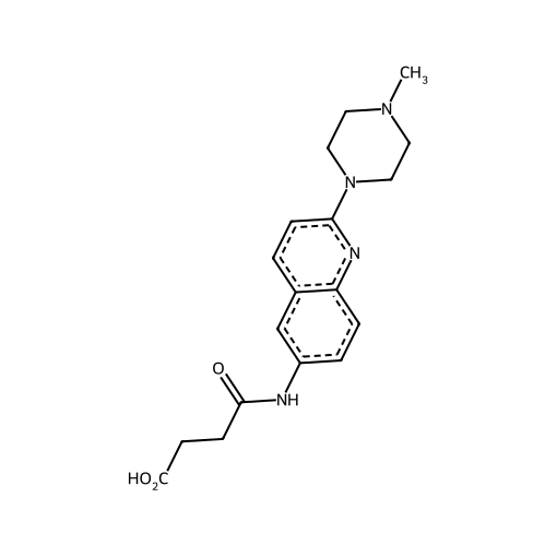 CN1CCN(c2ccc3cc(NC(=O)CCC(=O)O)ccc3n2)CC1